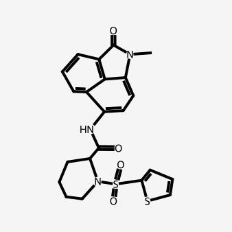 CN1C(=O)c2cccc3c(NC(=O)C4CCCCN4S(=O)(=O)c4cccs4)ccc1c23